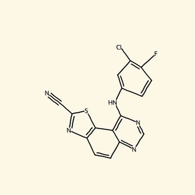 N#Cc1nc2ccc3ncnc(Nc4ccc(F)c(Cl)c4)c3c2s1